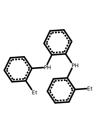 CCc1ccccc1Pc1ccccc1Pc1ccccc1CC